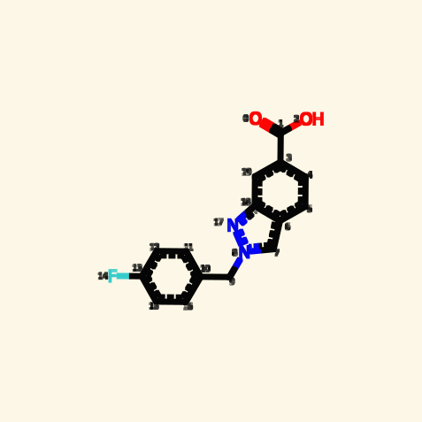 O=C(O)c1ccc2cn(Cc3ccc(F)cc3)nc2c1